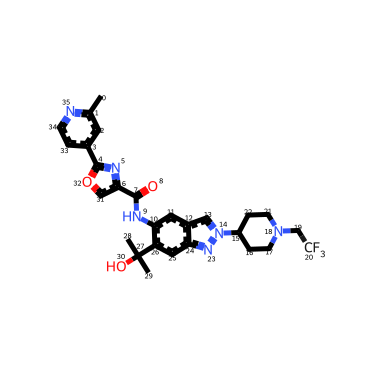 Cc1cc(-c2nc(C(=O)Nc3cc4cn(C5CCN(CC(F)(F)F)CC5)nc4cc3C(C)(C)O)co2)ccn1